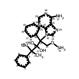 CC(C)(C)C(C)(c1ccccc1)C(O)(O)C(CO[SiH3])(c1ccccc1)n1cnc2c(N)ncnc21